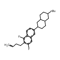 C=CCCc1c(F)cc2cc(C3CCC4CC(CCCC)CCC4C3)ccc2c1F